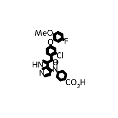 COc1ccc(F)cc1Oc1ccc(C(=O)c2c[nH]c3nccc(NC4CCC(C(=O)O)CC4)c23)c(Cl)c1